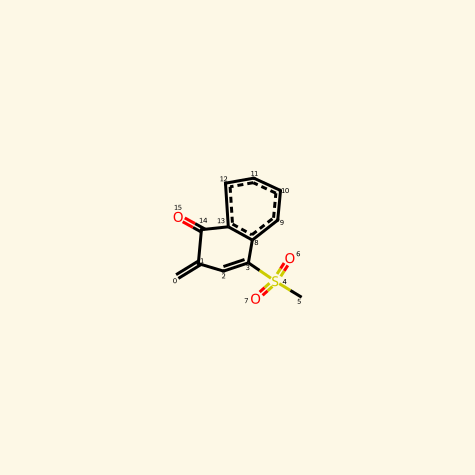 C=C1C=C(S(C)(=O)=O)c2ccccc2C1=O